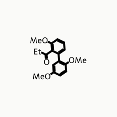 CCC(=O)c1c(OC)cccc1-c1cc(OC)ccc1OC